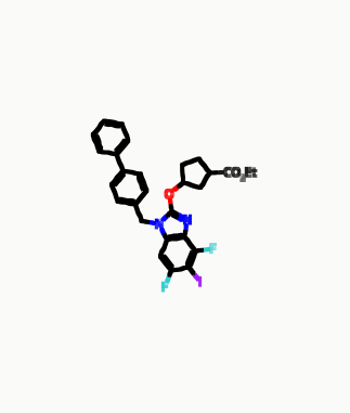 CCOC(=O)C1CCC(Oc2nc3c(F)c(I)c(F)cc3n2Cc2ccc(-c3ccccc3)cc2)C1